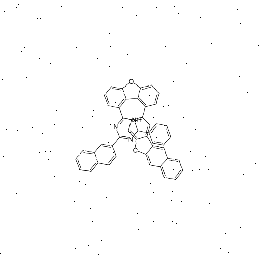 c1ccc(C2N=C(c3ccc4ccccc4c3)N=C(c3cccc4oc5cccc(-c6ccc7oc8cc9ccccc9cc8c7c6)c5c34)N2)cc1